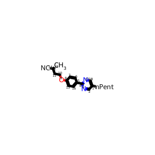 CCCCCc1cnc(-c2ccc(OCCC(C)C#N)cc2)nc1